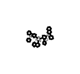 C1=C(n2c3ccccc3c3cc4ccccc4cc32)c2oc3ccccc3c2C(c2nc(-c3ccc4c5ccccc5n(-c5ccccc5)c4c3)nc(-c3cccc4ccccc34)n2)C1